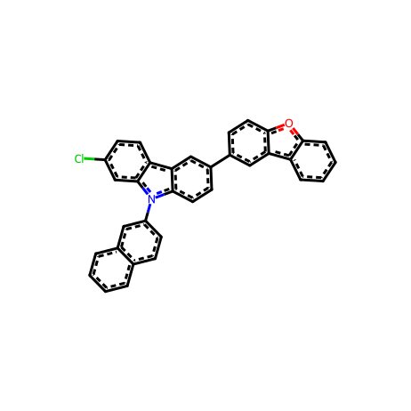 Clc1ccc2c3cc(-c4ccc5oc6ccccc6c5c4)ccc3n(-c3ccc4ccccc4c3)c2c1